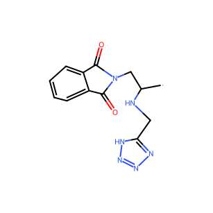 [CH2]C(CN1C(=O)c2ccccc2C1=O)NCc1nnn[nH]1